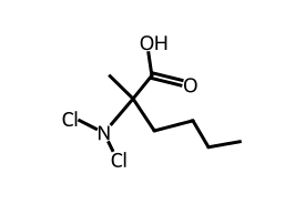 CCCCC(C)(C(=O)O)N(Cl)Cl